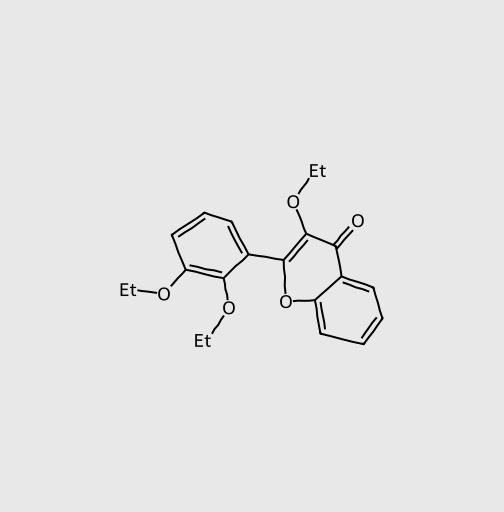 CCOc1cccc(-c2oc3ccccc3c(=O)c2OCC)c1OCC